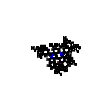 Cc1cc2c3c(c1)N(c1cc4c(cc1C)C(C)(C)CCC4(C)C)c1cc4c(cc1B3C1=C(Cc3ccc(C(C)C)cc31)N2c1c#cc(C(C)(C)C)cc1)C(C)(C)CCC4(C)C